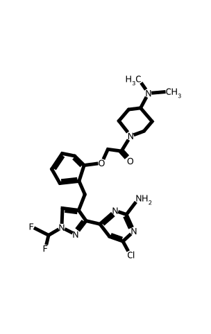 CN(C)C1CCN(C(=O)COc2ccccc2Cc2cn(C(F)F)nc2-c2cc(Cl)nc(N)n2)CC1